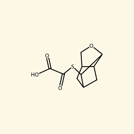 O=C(O)C(=O)SC1C2CC3COC1C3C2